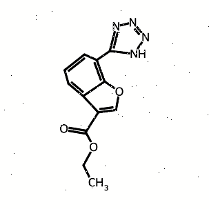 CCOC(=O)c1coc2c(-c3nnn[nH]3)cccc12